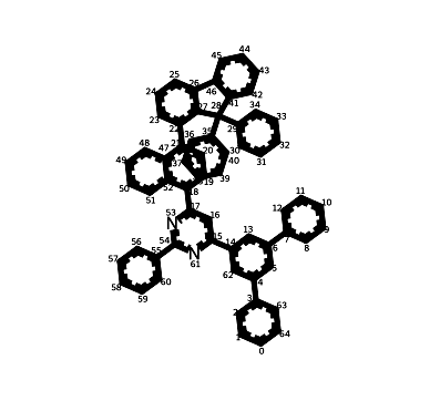 c1ccc(-c2cc(-c3ccccc3)cc(-c3cc(-c4ccc(-c5cccc6c5C(c5ccccc5)(c5ccccc5)c5ccccc5-6)c5ccccc45)nc(-c4ccccc4)n3)c2)cc1